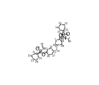 C=CNP(=O)(Oc1ccc(Cc2ccc(OP(=O)(C=C)c3ccccc3)cc2)cc1)c1ccccc1